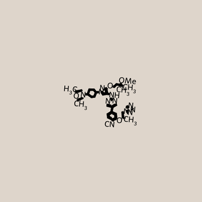 COC(C)(C)CCOc1nn(C2CCC(N3C[C@@H](C)O[C@@H](C)C3)CC2)cc1Nc1ncc(-c2ccc(C#N)c(O[C@@H](C)Cn3cnnn3)c2)cn1